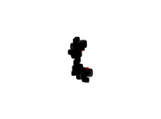 CCC(Oc1c(C)cc(CCc2cc(C)c(OC(CC)C3CO3)c(C)c2)cc1C)C1CO1